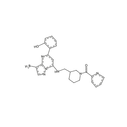 Bc1cnn2c(NCC3CCCN(C(=O)c4ccccn4)C3)cc(-c3ccccc3O)nc12